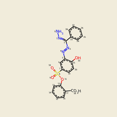 NN=C(N=Nc1cc(S(=O)(=O)Oc2ccccc2C(=O)O)ccc1O)c1ccccc1